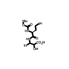 CCC(NC(=O)[C@H](CCC(C)C)NC(=O)OC(C)(C)C)C(O)C(=O)O